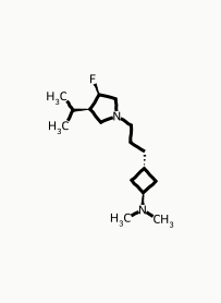 CC(C)[C@@H]1CN(CCC[C@H]2C[C@H](N(C)C)C2)C[C@@H]1F